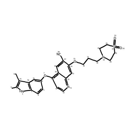 Cc1[nH]c2ccc(Oc3ccnc4cc(OCCCN5CCS(=O)(=O)CC5)c(C#N)cc34)cc2c1C